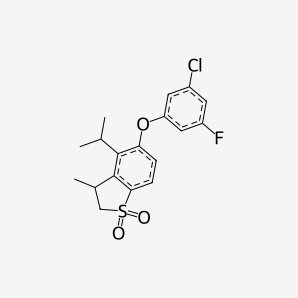 CC(C)c1c(Oc2cc(F)cc(Cl)c2)ccc2c1C(C)CS2(=O)=O